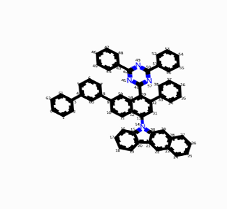 c1ccc(-c2cccc(-c3ccc4c(-n5c6ccccc6c6cc7ccccc7cc65)cc(-c5ccccc5)c(-c5nc(-c6ccccc6)nc(-c6ccccc6)n5)c4c3)c2)cc1